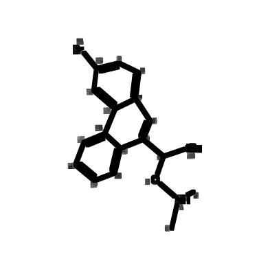 C[SiH](C)OC(c1cc2ccc(Br)cc2c2ccccc12)C(C)(C)C